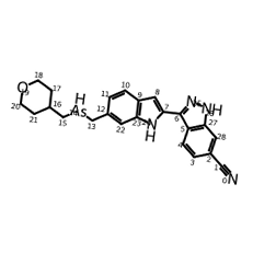 N#Cc1ccc2c(-c3cc4ccc(C[AsH]CC5CCOCC5)cc4[nH]3)n[nH]c2c1